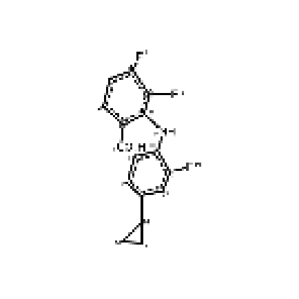 O=C(O)c1ccc(F)c(F)c1Nc1ccc(C2CC2)cc1F